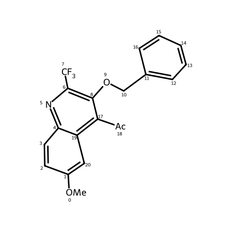 COc1ccc2nc(C(F)(F)F)c(OCc3ccccc3)c(C(C)=O)c2c1